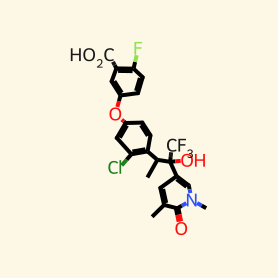 Cc1cc(C(O)(C(C)c2ccc(Oc3ccc(F)c(C(=O)O)c3)cc2Cl)C(F)(F)F)cn(C)c1=O